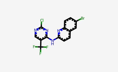 FC(F)(F)c1cnc(Cl)nc1Nc1ccc2cc(Br)ccc2n1